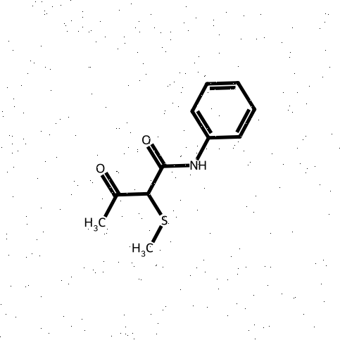 CSC(C(C)=O)C(=O)Nc1ccccc1